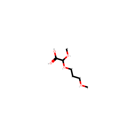 [CH2]OCCCOC(O[CH2])C([O])=O